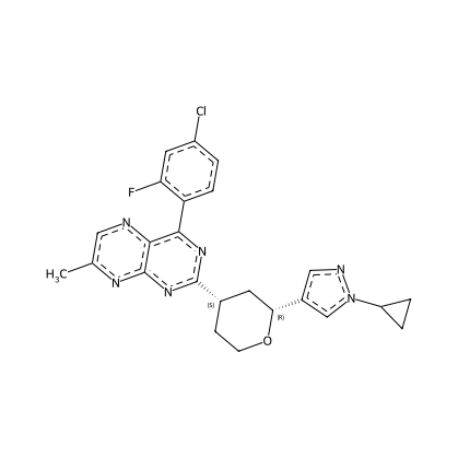 Cc1cnc2c(-c3ccc(Cl)cc3F)nc([C@H]3CCO[C@@H](c4cnn(C5CC5)c4)C3)nc2n1